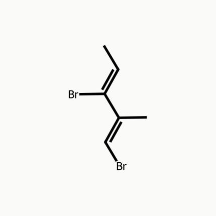 C/C=C(Br)/C(C)=C/Br